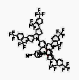 Cc1ccc(-c2ccc(-n3c4ccc(-c5ccc(C(F)(F)F)cc5C(F)(F)F)cc4c4cc(-c5ccc(C(F)(F)F)cc5C(F)(F)F)ccc43)cc2-c2cc(C#N)ccc2-n2c3ccc(-c4ccc(C(F)(F)F)cc4C(F)(F)F)cc3c3cc(-c4ccc(C(F)(F)F)cc4C(F)(F)F)ccc32)c(C#N)c1